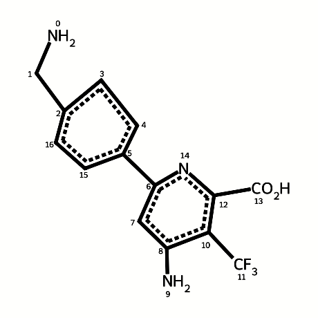 NCc1ccc(-c2cc(N)c(C(F)(F)F)c(C(=O)O)n2)cc1